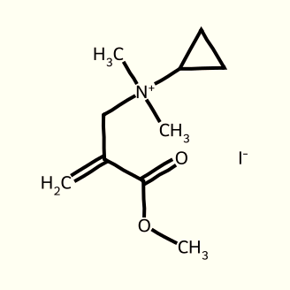 C=C(C[N+](C)(C)C1CC1)C(=O)OC.[I-]